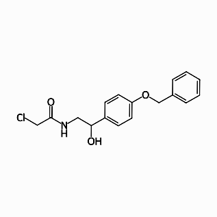 O=C(CCl)NCC(O)c1ccc(OCc2ccccc2)cc1